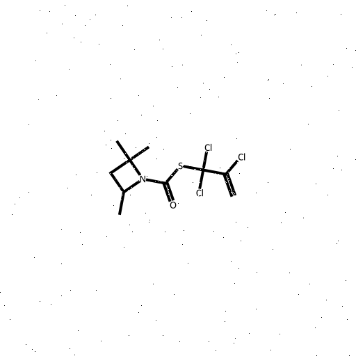 C=C(Cl)C(Cl)(Cl)SC(=O)N1C(C)CC1(C)C